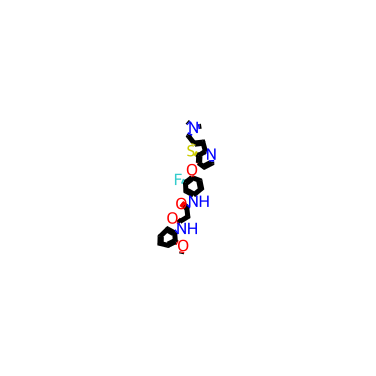 COc1ccccc1NC(=O)CC(=O)Nc1ccc(Oc2ccnc3cc(CN(C)C)sc23)c(F)c1